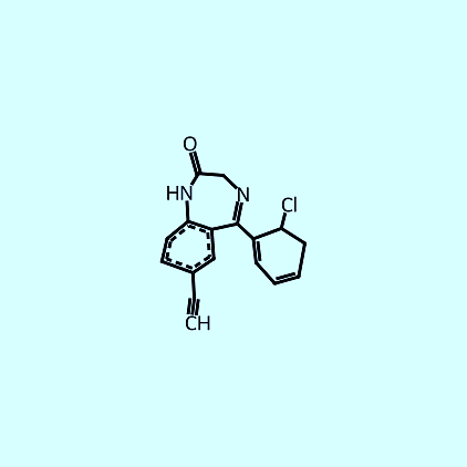 C#Cc1ccc2c(c1)C(C1=CC=CCC1Cl)=NCC(=O)N2